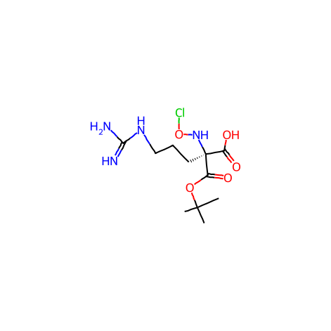 CC(C)(C)OC(=O)[C@@](CCCNC(=N)N)(NOCl)C(=O)O